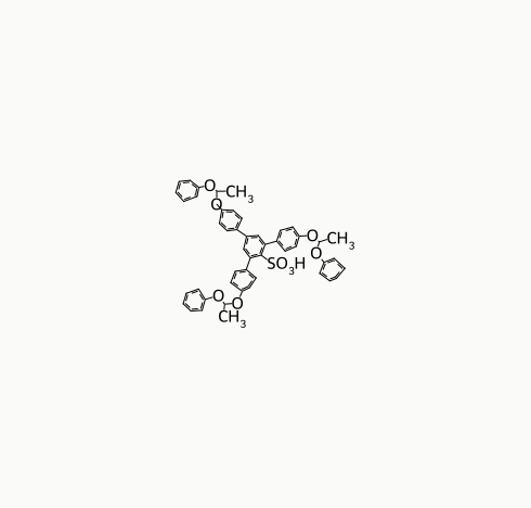 CC(Oc1ccccc1)Oc1ccc(-c2cc(-c3ccc(OC(C)Oc4ccccc4)cc3)c(S(=O)(=O)O)c(-c3ccc(OC(C)Oc4ccccc4)cc3)c2)cc1